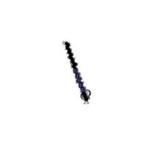 CCCCCCCCCCC/C=C/C=C/C=C/C=C/C=C/C(=O)OCC